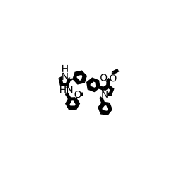 CCOC(=O)C1=C(c2ccccc2)N(Cc2ccccc2)CC1.COc1ccccc1CN[C@H]1CCN[C@H]1c1ccccc1